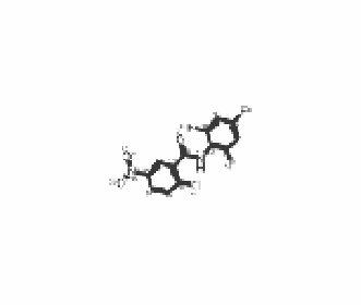 O=C(Nc1c(F)cc(F)cc1F)c1cc([N+](=O)[O-])ccc1Cl